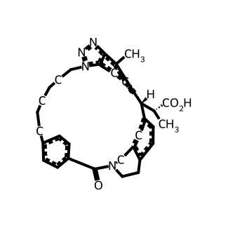 Cc1c2ccc3c1nnn3CCCCCCc1ccc(cc1)C(=O)N1CCc3ccc(cc3C1)[C@H]2[C@@H](C)C(=O)O